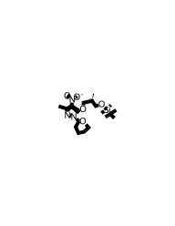 Cc1nn(C2CCCCO2)c(OC[C@H](C)CO[Si](C)(C)C(C)(C)C)c1[N+](=O)[O-]